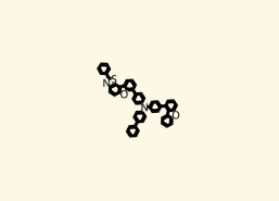 c1ccc(-c2ccc(N(c3ccc(-c4cccc5c4oc4ccc6nc(-c7ccccc7)sc6c45)cc3)c3ccc(-c4cccc5oc6ccccc6c45)cc3)cc2)cc1